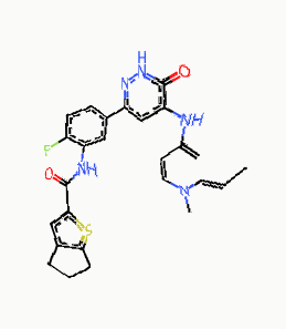 C=C(/C=C\N(C)/C=C/C)Nc1cc(-c2ccc(F)c(NC(=O)c3cc4c(s3)CCC4)c2)n[nH]c1=O